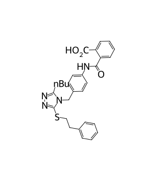 CCCCc1nnc(SCCc2ccccc2)n1Cc1ccc(NC(=O)c2ccccc2C(=O)O)cc1